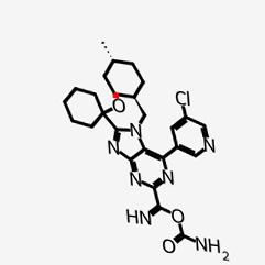 COC1(c2nc3nc(C(=N)OC(N)=O)nc(-c4cncc(Cl)c4)c3n2C[C@H]2CC[C@H](C)CC2)CCCCC1